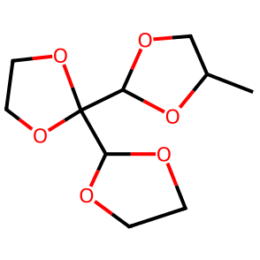 CC1COC(C2(C3OCCO3)OCCO2)O1